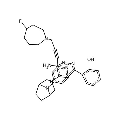 Nc1nnc(-c2ccccc2O)cc1N1CC2CCC(C1)N2c1ccnc(C#CCN2CCCC(F)CC2)c1